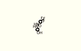 O=C(Nc1ccc(O)cc1)Nc1ccc(C(F)(F)F)cc1